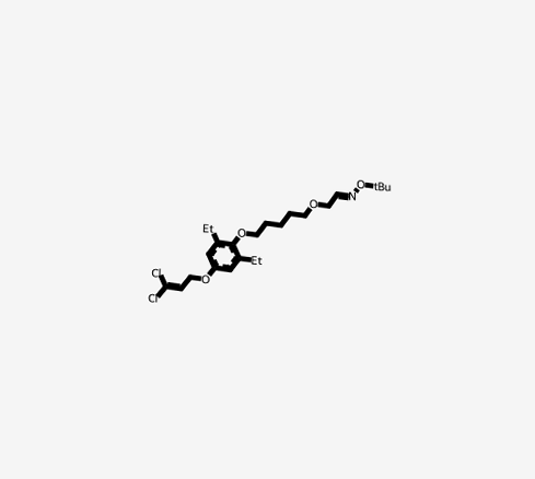 CCc1cc(OCC=C(Cl)Cl)cc(CC)c1OCCCCCOCC=NOC(C)(C)C